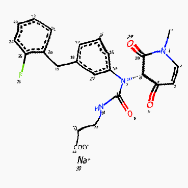 CN1C=CC(=O)[C@H](N(C(=O)NCCC(=O)[O-])c2cccc(Cc3ccccc3F)c2)C1=O.[Na+]